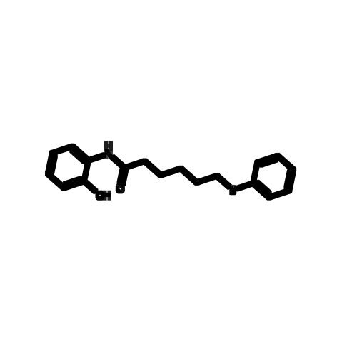 O=C(CCCCCSc1ccccc1)Nc1ccccc1O